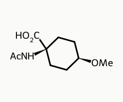 CO[C@H]1CC[C@](NC(C)=O)(C(=O)O)CC1